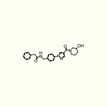 O=C(Cc1ccccc1)NCc1ccc(-n2cc(C(=O)N3CCCC(O)C3)cn2)cc1